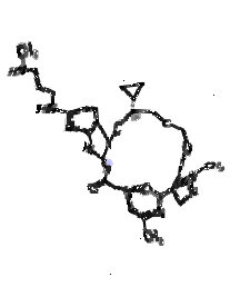 CNCCCNc1ccc2c(c1)N/C1=N\C(=O)c3cc(C)nc(c3)-c3cnn(C)c3OCCC[C@@H](C3CC3)CN12